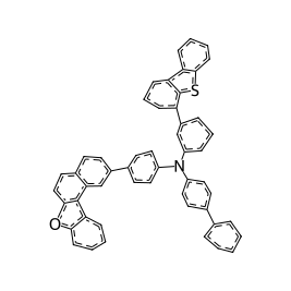 c1ccc(-c2ccc(N(c3ccc(-c4ccc5ccc6oc7ccccc7c6c5c4)cc3)c3cccc(-c4cccc5c4sc4ccccc45)c3)cc2)cc1